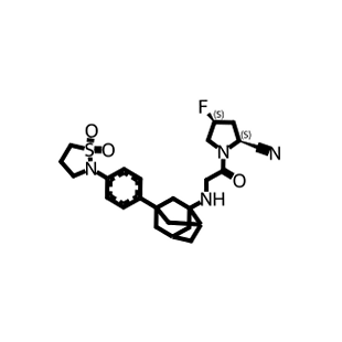 N#C[C@@H]1C[C@H](F)CN1C(=O)CNC12CC3CC1CC(c1ccc(N4CCCS4(=O)=O)cc1)(C3)C2